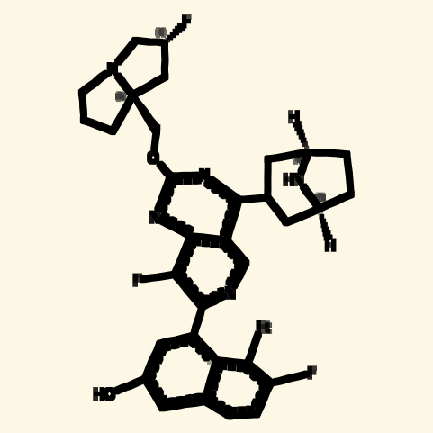 CCc1c(F)ccc2cc(O)cc(-c3ncc4c(C5C[C@H]6CC[C@@H](C5)N6)nc(OC[C@@]56CCCN5C[C@H](F)C6)nc4c3F)c12